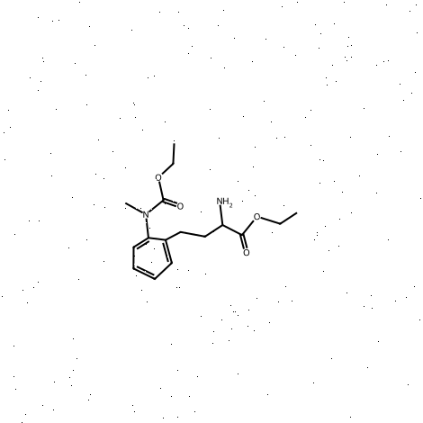 CCOC(=O)C(N)CCc1ccccc1N(C)C(=O)OCC